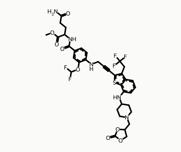 COC(=O)C(CCC(N)=O)NC(=O)c1ccc(NCC#Cc2sc3c(NC4CCN(CC5COC(=O)O5)CC4)cccc3c2CC(F)(F)F)c(OC(F)F)c1